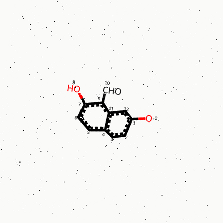 [O]c1ccc2ccc(O)c(C=O)c2c1